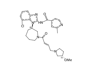 CO[C@H]1CCN(CC=CC(=O)N2CCCC[C@@H](n3c(NC(=O)c4ccnc(C)c4)nc4cccc(Cl)c43)C2)C1